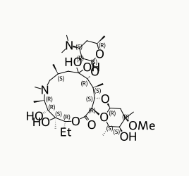 CC[C@H]1OC(=O)[C@H](C)[C@@H](O[C@H]2C[C@@](C)(OC)[C@@H](O)[C@H](C)O2)[C@H](C)[C@@H](O[C@@H]2O[C@H](C)C[C@H](N(C)C)[C@H]2O)C(C)(O)C[C@H](C)CN(C)[C@H](C)[C@@H](O)[C@]1(C)O